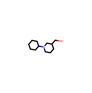 OCC1CCCN(C2CCCCC2)C1